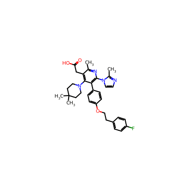 Cc1nc(-n2ccnc2C)c(-c2ccc(OCCc3ccc(F)cc3)cc2)c(N2CCC(C)(C)CC2)c1CC(=O)O